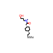 CNCC[C@H]1CC[C@H](CC(=O)N(C)CCCO)CC1